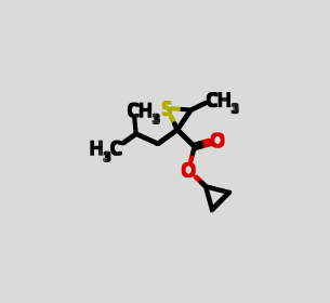 CC(C)CC1(C(=O)OC2CC2)SC1C